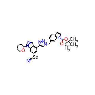 CC(C)(C)OC(=O)n1ccc2ccc(Cn3cc(-c4cc([Se]C#N)cc5c4cnn5C4CCCCO4)nn3)cc21